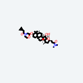 C[C@@H]1C[C@H](CCC(=O)N(C)C)O[C@H]2C1[C@@]1(C)CC[C@@]34C[C@@]35CC[C@H](OC3CN(C(=O)CC6CC6)CCO3)C(C)(C)[C@@H]5CC[C@H]4[C@]1(C)[C@H]2O